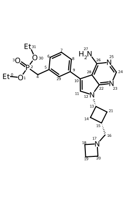 CCOP(=O)(Cc1cccc(-c2cn([C@H]3C[C@@H](CN4CCC4)C3)c3ncnc(N)c23)c1)OCC